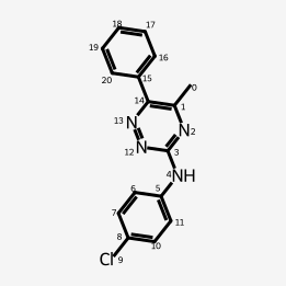 Cc1nc(Nc2ccc(Cl)cc2)nnc1-c1ccccc1